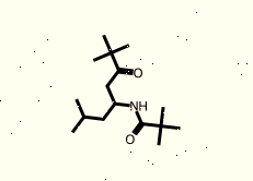 CC(C)CC(CC(=O)C(C)(C)C)NC(=O)C(C)(C)C